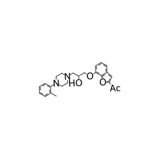 CC(=O)c1cc2cccc(OCC(O)CN3CCN(c4ccccc4C)CC3)c2o1